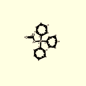 [CH2]CC(=O)O[Si](c1ccccc1)(c1ccccc1)c1ccccc1